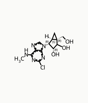 CNc1nc(Cl)nc2c1ncn2[C@@H]1[C@H]2C[C@@]2(CO)C(O)[C@@H]1O